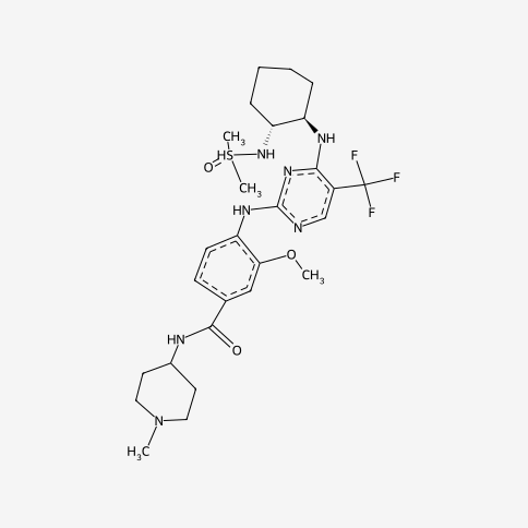 COc1cc(C(=O)NC2CCN(C)CC2)ccc1Nc1ncc(C(F)(F)F)c(N[C@@H]2CCCC[C@H]2N[SH](C)(C)=O)n1